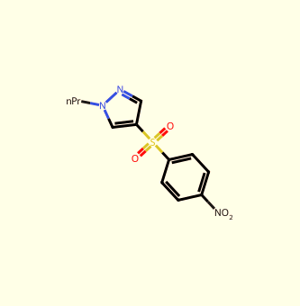 CCCn1cc(S(=O)(=O)c2ccc([N+](=O)[O-])cc2)cn1